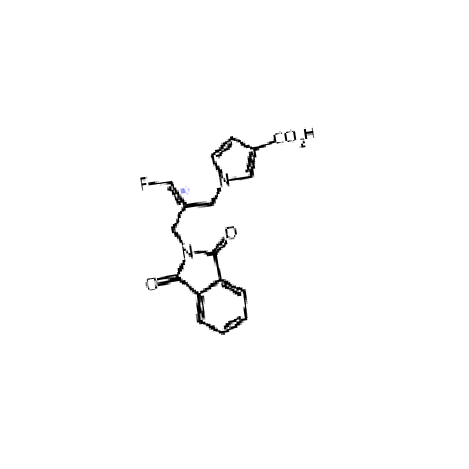 O=C(O)c1ccn(C/C(=C/F)CN2C(=O)c3ccccc3C2=O)c1